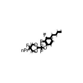 C=CCCc1ccc(OC(F)(F)C2OCC(F)(CCC)CO2)c(F)c1F